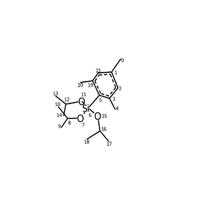 Cc1cc(C)c([Si](OC(C)C)(OC(C)C)OC(C)C)c(C)c1